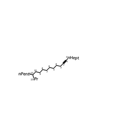 [CH2]CCCCCCC#CCCCCCCCCC(CCCC[CH2])C(C)C